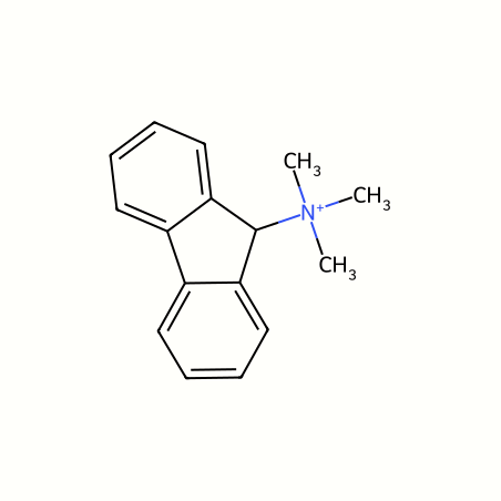 C[N+](C)(C)C1c2ccccc2-c2ccccc21